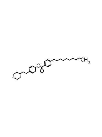 CCCCCCCCCCc1ccc(C(=O)Oc2ccc(CCC3CC[CH]CC3)cc2)cc1